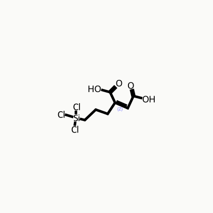 O=C(O)/C=C(/CCC[Si](Cl)(Cl)Cl)C(=O)O